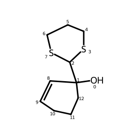 OC1(C2SCCCS2)C=CCCC1